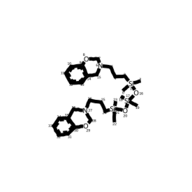 C[Si](C)(CCCN1COc2ccccc2C1)O[Si](C)(C)O[Si](C)(C)CCCN1COc2ccccc2C1